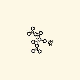 Cc1c(-n2c3ccccc3c3cc(N(c4ccccc4)c4ccccc4)ccc32)cc(-c2ccc(-c3cncnc3)cc2)cc1-n1c2ccccc2c2cc(N(c3ccccc3)c3ccccc3)ccc21